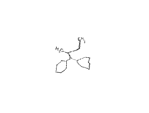 CCC(C)P(C1CCCCC1)C1CCCCC1